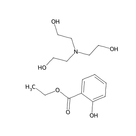 CCOC(=O)c1ccccc1O.OCCN(CCO)CCO